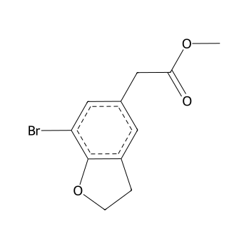 COC(=O)Cc1cc(Br)c2c(c1)CCO2